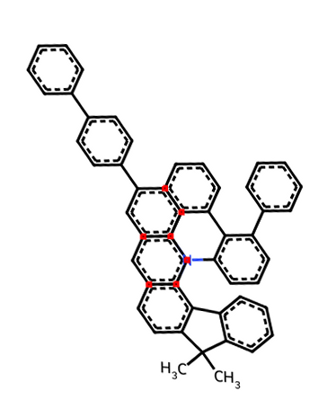 CC1(C)c2ccccc2-c2c(N(c3ccc(-c4ccc(-c5ccccc5)cc4)cc3)c3cccc(-c4ccccc4)c3-c3ccccc3-c3ccccc3)cccc21